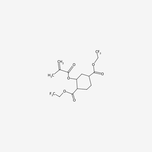 C=C(C)C(=O)OC1CC(C(=O)OCC(F)(F)F)CCC1C(=O)OCC(F)(F)F